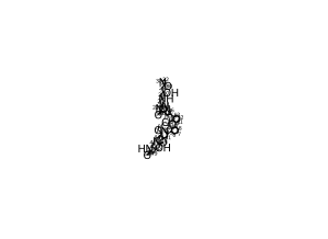 COc1nc(-c2cccc(-c3cccc(-c4cc5c(=O)n(C)c(CNCC(O)CC(=O)N(C)C)nn5c4)c3Cl)c2Cl)ccc1CN(CC1CCC(=O)N1)C(=O)O